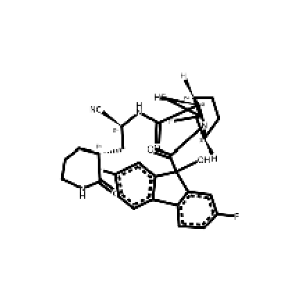 N#C[C@H](C[C@H]1CCCNC1=O)NC(=O)[C@@H]1[C@@H]2CC[C@@H](CC2(F)F)N1C(=O)C1(O)c2cc(F)ccc2-c2ccc(F)cc21